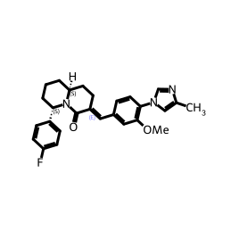 COc1cc(/C=C2\CC[C@@H]3CCC[C@@H](c4ccc(F)cc4)N3C2=O)ccc1-n1cnc(C)c1